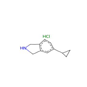 Cl.c1cc2c(cc1C1CC1)CNC2